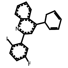 Fc1ccc(I)c(-c2cc(C3C=CC=CC3)c3ccccc3n2)c1